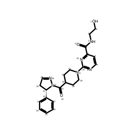 O=C(NCCO)c1ccnc(N2CCC(C(=O)N3N=CC[C@H]3c3ccccc3)CC2)n1